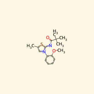 COc1ccccc1-n1cc(C)sc1=NC(=O)C(C)(C)C